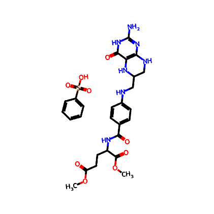 COC(=O)CCC(NC(=O)c1ccc(NCC2CNc3nc(N)[nH]c(=O)c3N2)cc1)C(=O)OC.O=S(=O)(O)c1ccccc1